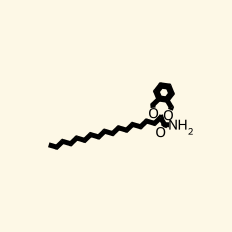 CCCCCCCCCCCCCCCCC1(C(N)=O)OCc2ccccc2CO1